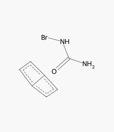 NC(=O)NBr.c1cc2ccc1-2